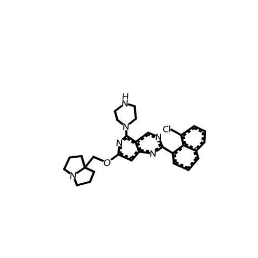 Clc1cccc2cccc(-c3ncc4c(N5CCNCC5)nc(OCC56CCCN5CCC6)cc4n3)c12